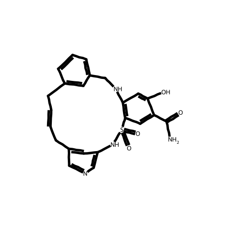 NC(=O)c1cc2c(cc1O)NCc1cccc(c1)C/C=C/Cc1cncc(c1)NS2(=O)=O